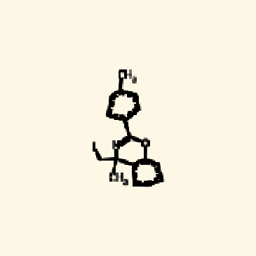 Cc1ccc(C2=NC(C)(CI)c3ccccc3O2)cc1